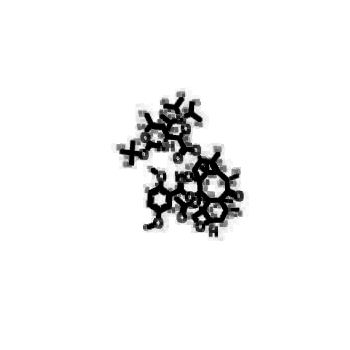 COc1ccc(OC)c(C(=O)O[C@H]2[C@@H]3[C@]4(OC(C)=O)CO[C@@H]4C[C@H](C)[C@@]3(C)C(=O)[C@H](C)C3=C(C)[C@@H](OC(=O)[C@H](O[Si](C(C)C)(C(C)C)C(C)C)[C@H](C=C(C)C)NC(=O)OC(C)(C)C)C[C@]2(O)C3(C)C)c1